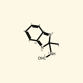 CC1(NC=O)N=c2ccccc2=N1